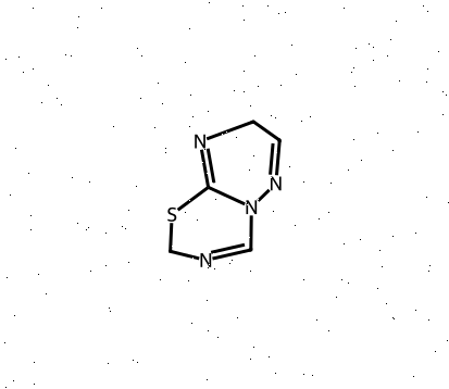 C1=NCSC2=NCC=NN12